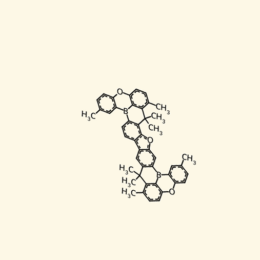 Cc1ccc2c(c1)B1c3cc4oc5c6c(ccc5c4cc3C(C)(C)c3c(C)ccc(c31)O2)B1c2cc(C)ccc2Oc2ccc(C)c(c21)C6(C)C